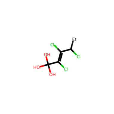 CCC(Cl)/C(Cl)=C(\Cl)C(O)(O)O